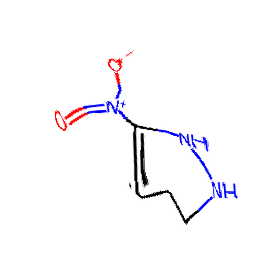 O=[N+]([O-])C1=[C]CNN1